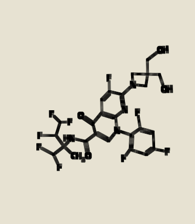 CC(NC(=O)c1cn(-c2c(F)cc(F)cc2F)c2nc(N3CC(CO)(CO)C3)c(F)cc2c1=O)(C(F)F)C(F)C(F)F